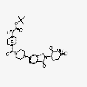 CC(C)(C)OC(=O)NC12CCC(C(=O)N3CCN(c4ccc5c(c4)CN(C4CCC(=O)NC4=O)C5=O)CC3)(CC1)CC2